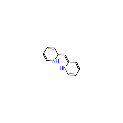 C1=CN/C(=C\C2C=CC=CN2)C=C1